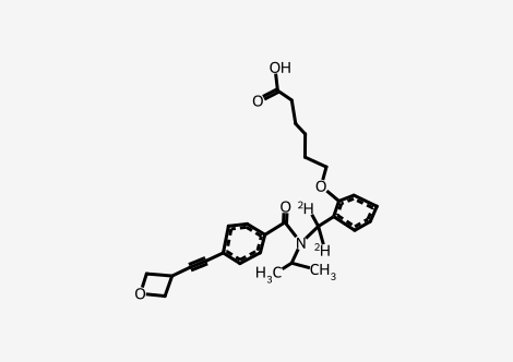 [2H]C([2H])(c1ccccc1OCCCCCC(=O)O)N(C(=O)c1ccc(C#CC2COC2)cc1)C(C)C